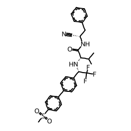 CC(C)[C@H](N[C@@H](c1ccc(-c2ccc(S(C)(=O)=O)cc2)cc1)C(F)(F)F)C(=O)N[C@H](C#N)Cc1ccccc1